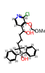 COCOc1c(C(O)CCCC(C)(C)[Si](O)(c2ccccc2)c2ccccc2)ccnc1Cl